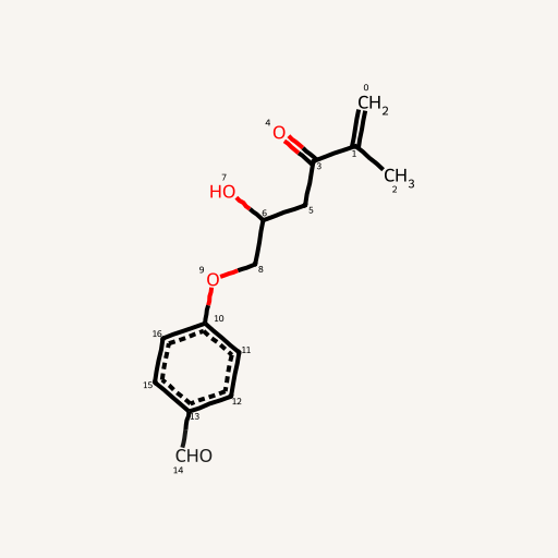 C=C(C)C(=O)CC(O)COc1ccc(C=O)cc1